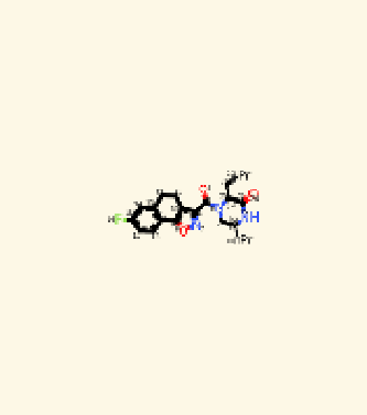 CCC[C@H]1CN(C(=O)c2noc3c2CCc2cc(F)ccc2-3)[C@@H](CC(C)C)C(=O)N1